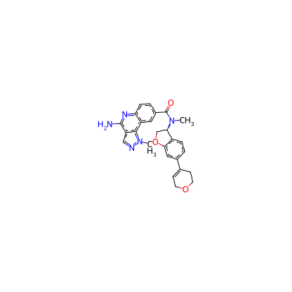 CN(C(=O)c1ccc2nc(N)c3cnn(C)c3c2c1)[C@@H]1COc2cc(C3=CCOCC3)ccc21